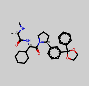 CN[C@@H](C)C(=O)N[C@H](C(=O)N1CCC[C@H]1c1cccc(C2(c3ccccc3)OCCO2)c1)C1CCCCC1